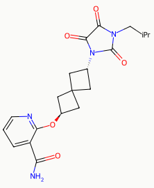 CC(C)CN1C(=O)C(=O)N([C@H]2CC3(C[C@H](Oc4ncccc4C(N)=O)C3)C2)C1=O